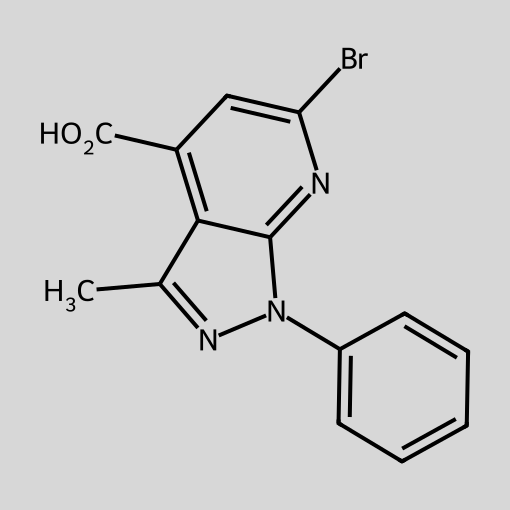 Cc1nn(-c2ccccc2)c2nc(Br)cc(C(=O)O)c12